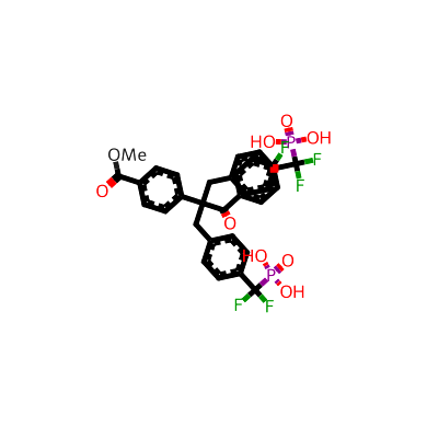 COC(=O)c1ccc(C(Cc2ccc(C(F)(F)P(=O)(O)O)cc2)(Cc2ccc(C(F)(F)P(=O)(O)O)cc2)C(=O)c2ccc(F)cc2)cc1